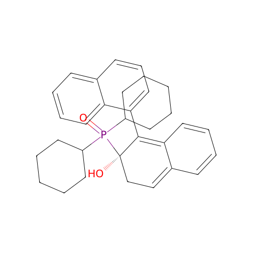 O=P(C1CCCCC1)(C1CCCCC1)[C@]1(O)CC=c2ccccc2=C1c1cccc2ccccc12